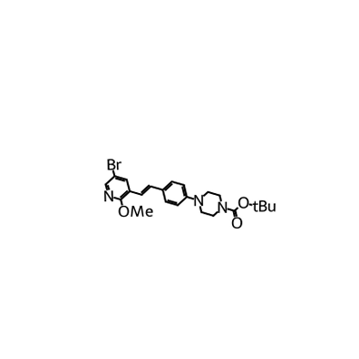 COc1ncc(Br)cc1C=Cc1ccc(N2CCN(C(=O)OC(C)(C)C)CC2)cc1